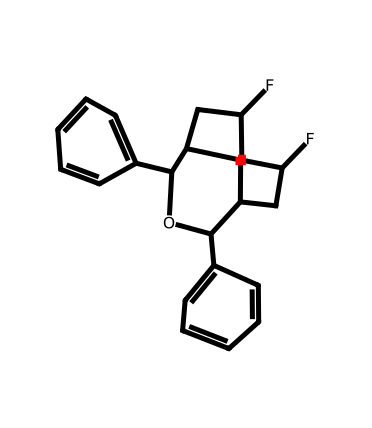 FC1CC(C(OC(c2ccccc2)C2CC(F)C2)c2ccccc2)C1